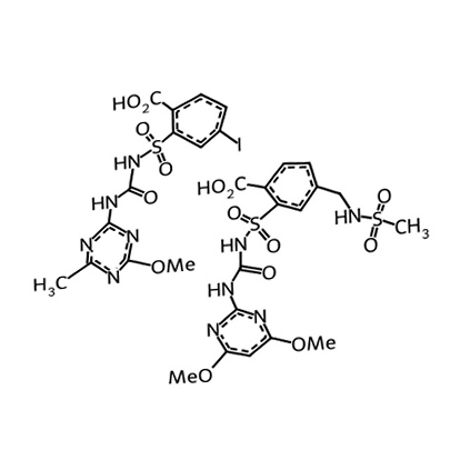 COc1cc(OC)nc(NC(=O)NS(=O)(=O)c2cc(CNS(C)(=O)=O)ccc2C(=O)O)n1.COc1nc(C)nc(NC(=O)NS(=O)(=O)c2cc(I)ccc2C(=O)O)n1